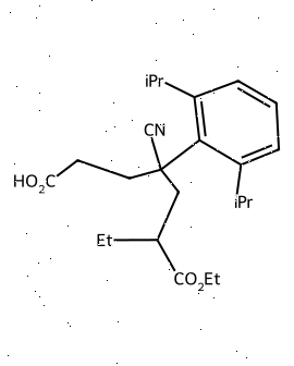 CCOC(=O)C(CC)CC(C#N)(CCC(=O)O)c1c(C(C)C)cccc1C(C)C